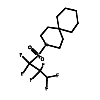 O=S(=O)(N1CCC2(CCCCC2)CC1)C(F)(F)C(F)(F)C(F)F